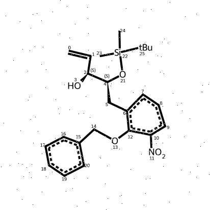 C=C[C@H](O)[C@H](Cc1cccc([N+](=O)[O-])c1OCc1ccccc1)O[Si](C)(C)C(C)(C)C